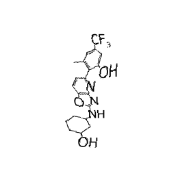 Cc1cc(C(F)(F)F)cc(O)c1-c1ccc2oc(NC3CCCC(O)C3)nc2n1